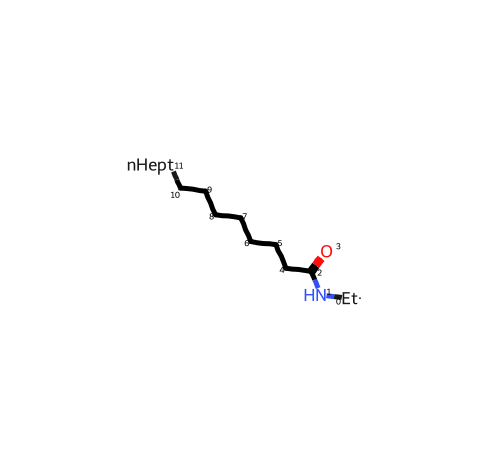 C[CH]NC(=O)CCCCCCCCCCCCCC